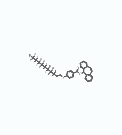 O=C(OC1c2ccccc2C=Cc2ccccc21)c1ccc(SCCC(F)(F)C(F)(F)C(F)(F)C(F)(F)C(F)(F)C(F)(F)C(F)(F)C(F)(F)F)cc1